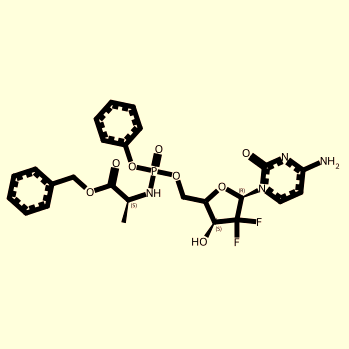 C[C@H](NP(=O)(OCC1O[C@@H](n2ccc(N)nc2=O)C(F)(F)[C@H]1O)Oc1ccccc1)C(=O)OCc1ccccc1